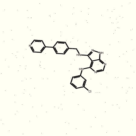 Clc1cccc(Nc2ncnc3[nH]nc(NCc4ccc(-c5ccncc5)cc4)c23)c1